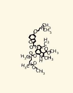 CCOC(=O)N(C)CCN(C)C(=O)Oc1cc2c(c3c(C(=O)OC)c(C)[nH]c13)[C@H](CC)CN2C(=O)c1cc2cc(OCCN(C)C)ccc2o1